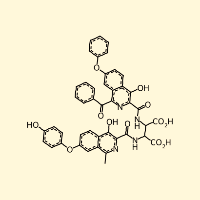 Cc1nc(C(=O)NC(C(=O)O)C(NC(=O)c2nc(C(=O)c3ccccc3)c3cc(Oc4ccccc4)ccc3c2O)C(=O)O)c(O)c2ccc(Oc3ccc(O)cc3)cc12